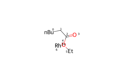 CCCCCC(=O)OCC.[Rh+3]